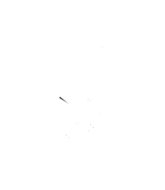 CC(C)[C@@H]1C(=N)N(C)C(=O)N1c1ccccc1